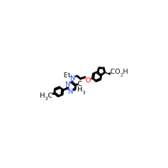 CCN(CCCOc1ccc2c(c1)CC[C@H]2CC(=O)O)c1nc(-c2ccc(C)cc2)ncc1C